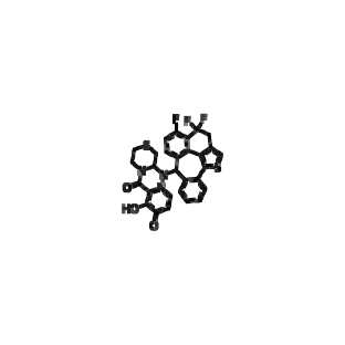 O=C1c2c(O)c(=O)ccn2N(C2c3ccccc3-c3scc4c3-c3c2ccc(F)c3C(F)(F)C4)C2CSCCN12